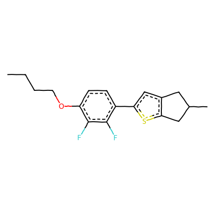 CCCCOc1ccc(-c2cc3c(s2)CC(C)C3)c(F)c1F